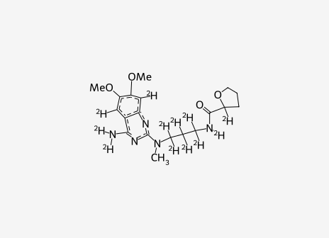 [2H]c1c(OC)c(OC)c([2H])c2c(N([2H])[2H])nc(N(C)C([2H])([2H])C([2H])([2H])C([2H])([2H])N([2H])C(=O)C3([2H])CCCO3)nc12